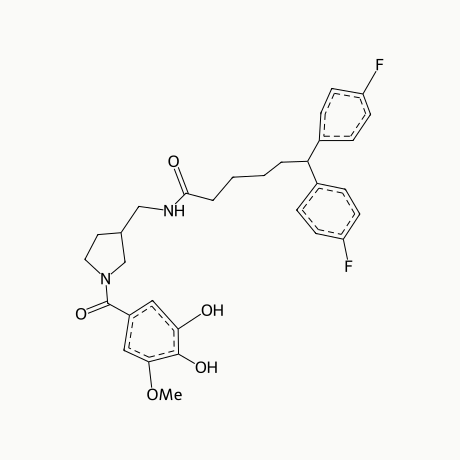 COc1cc(C(=O)N2CCC(CNC(=O)CCCCC(c3ccc(F)cc3)c3ccc(F)cc3)C2)cc(O)c1O